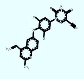 C=Cc1cc(C)nc2ccc(Oc3c(Cl)cc(-n4nc(C#N)c(=O)[nH]c4=O)cc3Cl)cc12